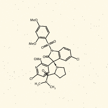 COc1ccc(S(=O)(=O)N2C(=O)[C@](c3ccc(Cl)nc3OC)(N3CCCC3C(=O)N(C)C)c3cc(Cl)ccc32)c(OC)c1